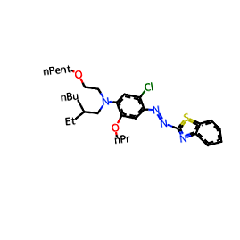 CCCCCOCCN(CC(CC)CCCC)c1cc(Cl)c(/N=N/c2nc3ccccc3s2)cc1OCCC